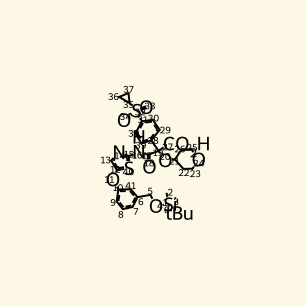 CC(C)(C)[Si](C)(C)OCc1cccc(Oc2cnc(NC(=O)C(OC3CCOCC3)(C(=O)O)c3ccc(S(=O)(=O)C4CC4)cc3)s2)c1